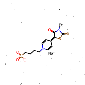 CCN1C(=O)C(=C2C=CN(CCCCS(=O)(=O)[O-])C=C2)SC1=S.[Na+]